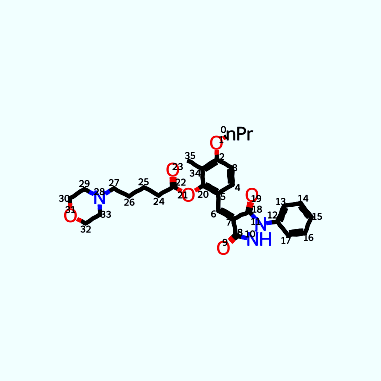 CCCOc1ccc(C=C2C(=O)NN(c3ccccc3)C2=O)c(OC(=O)CCCCN2CCOCC2)c1C